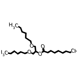 CCCCCCCCC(=O)OC(COCCCCCC)COCCCCCC